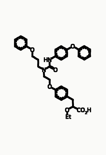 CCOC(Cc1ccc(OCCN(CCCOc2ccccc2)C(=O)Nc2ccc(Oc3ccccc3)cc2)cc1)C(=O)O